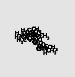 CC(C)C(C(=O)N1CCC[C@H]1C(=O)N1CCC[C@H]1C(=O)NC(C)(C)C)N(C)C(=O)[C@@H](NC(=O)[C@H](C(C)C)N(C)C)C(C)C